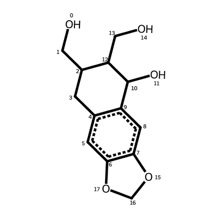 OCC1Cc2cc3c(cc2C(O)C1CO)OCO3